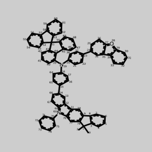 CC1(C)c2ccccc2-c2cc3c4cc(-c5ccc(N(c6ccc(-c7ccc8oc9ccccc9c8c7)cc6)c6cccc7c6-c6ccccc6C76c7ccccc7-c7ccccc76)cc5)ccc4n(-c4ccccc4)c3cc21